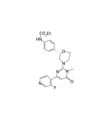 CCOC(=O)Nc1ccc([C@H]2CN(c3nc(-c4ccncc4F)cc(=O)n3C)CCO2)cc1